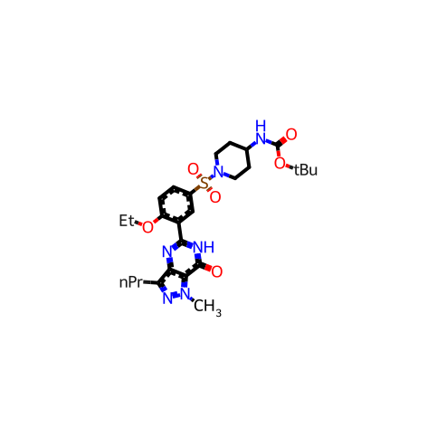 CCCc1nn(C)c2c(=O)[nH]c(-c3cc(S(=O)(=O)N4CCC(NC(=O)OC(C)(C)C)CC4)ccc3OCC)nc12